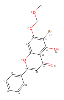 COCOc1cc2oc(-c3ccccc3)cc(=O)c2c(O)c1Br